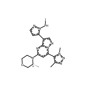 Cc1nnn(C)c1-c1cc(N2CCOC[C@H]2C)nc2c(-c3ccnn3PI)cnn12